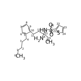 CCCCCc1ccccc1CCC(N)(CC)NS(=O)(=O)c1cccs1